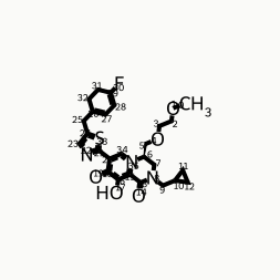 COCCOC[C@H]1CN(CC2CC2)C(=O)c2c(O)c(=O)c(-c3ncc(CC4=CC=C(F)CC4)s3)cn21